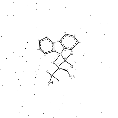 CC(C)(O)[C@H](CN)O[Si](c1ccccc1)(c1ccccc1)C(C)(C)C